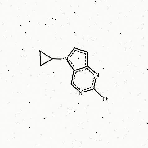 CCc1ncc2c(ccn2C2CC2)n1